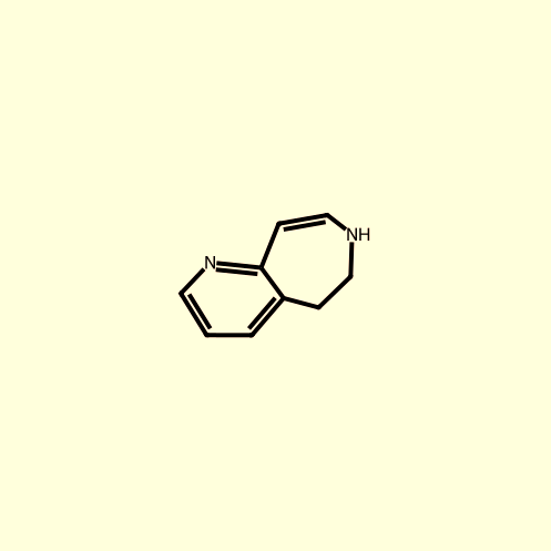 C1=Cc2ncccc2CCN1